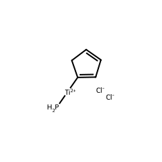 [Cl-].[Cl-].[PH2][Ti+2][C]1=CC=CC1